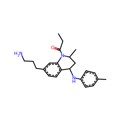 CCC(=O)N1c2cc(CCCN)ccc2C(Nc2ccc(C)cc2)CC1C